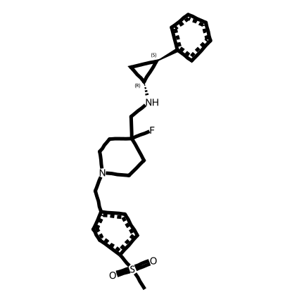 CS(=O)(=O)c1ccc(CN2CCC(F)(CN[C@@H]3C[C@H]3c3ccccc3)CC2)cc1